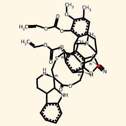 C=COC(=O)Oc1c(OC)c(C)cc2c1C1C3[C@@H]4SC[C@]5(NCCC6c7ccccc7NC65)C(=O)OC[C@@H](c5c6c(c(C)c(OC(=O)OC=C)c54)OCO6)N3[C@@H](C#N)C(C2)N1C